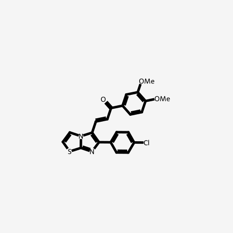 COc1ccc(C(=O)/C=C/c2c(-c3ccc(Cl)cc3)nc3sccn23)cc1OC